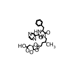 CC(CCB1OC(=O)[C@@H](CC(=O)O)O1)CNC(=O)C(Cc1ccccc1)NC(=O)c1cnccn1